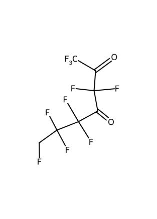 O=C(C(F)(F)F)C(F)(F)C(=O)C(F)(F)C(F)(F)CF